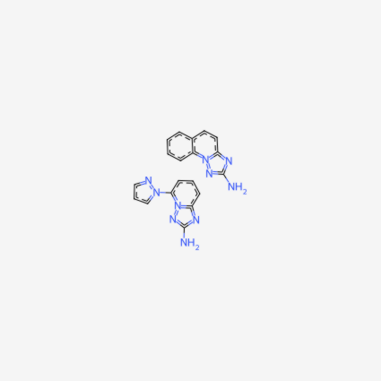 Nc1nc2ccc3ccccc3n2n1.Nc1nc2cccc(-n3cccn3)n2n1